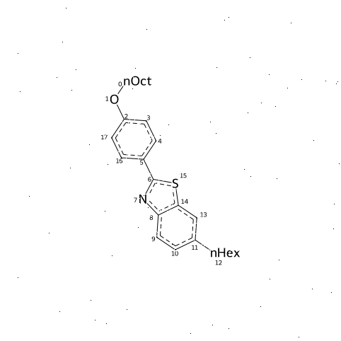 CCCCCCCCOc1ccc(-c2nc3ccc(CCCCCC)cc3s2)cc1